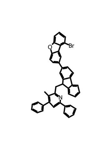 Cc1c(-c2ccccc2)cc(-c2ccccc2)nc1CC1c2ccccc2-c2ccc(-c3ccc4oc5cccc(Br)c5c4c3)cc21